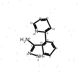 Nc1n[nH]c2cccc(-c3ccccn3)c12